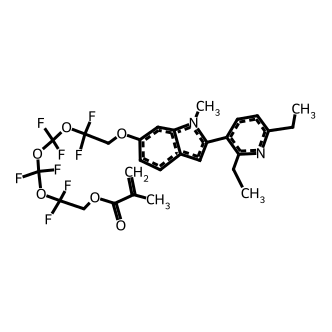 C=C(C)C(=O)OCC(F)(F)OC(F)(F)OC(F)(F)OC(F)(F)COc1ccc2cc(-c3ccc(CC)nc3CC)n(C)c2c1